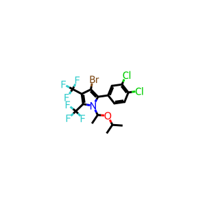 CC(C)OC(C)n1c(-c2ccc(Cl)c(Cl)c2)c(Br)c(C(F)(F)F)c1C(F)(F)F